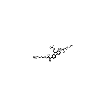 CCCCOCC(=O)Nc1ccc2c(c1)C(COC(C)=O)c1cc(NC(=O)COCCCCO)ccc1-2